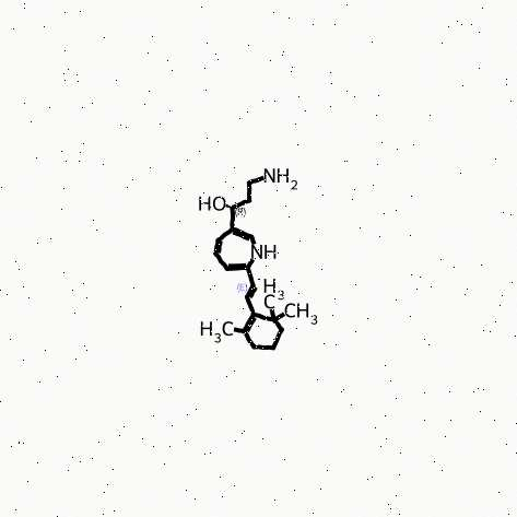 CC1=C(/C=C/C2=CC=CC([C@H](O)CCN)=CN2)C(C)(C)CCC1